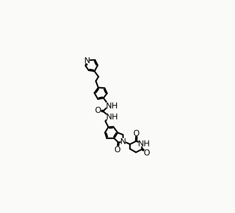 O=C1CCC(N2Cc3cc(CNC(=O)Nc4ccc(CCc5ccncc5)cc4)ccc3C2=O)C(=O)N1